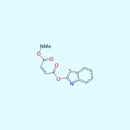 CNOC(=O)/C=C\C(=O)Oc1nc2ccccc2s1